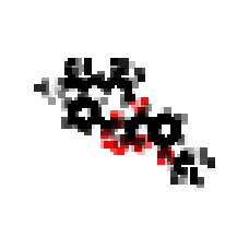 CC(C)=CCCC(C)=CCOc1c(OC(=O)c2ccccc2)c(=O)oc2c(OC(C)C)cccc12